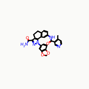 Cc1ccncc1C(=O)Nc1ccc2c(c1)-c1c(c(C(N)=O)nn1-c1ccc3c(c1)OCO3)CC2